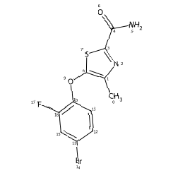 Cc1nc(C(N)=O)sc1Oc1ccc(Br)cc1F